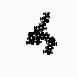 Cc1cc(-c2nnc(Nc3ccc4[nH]nc(C5OCC5NC(=O)COc5ccc(-c6nnc(Nc7ccc8[nH]ncc8c7)[nH]6)cc5)c4c3)[nH]2)ccc1OCC(=O)NC1CCC1